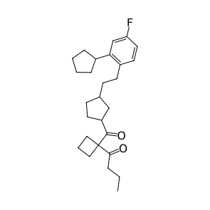 CCCC(=O)C1(C(=O)C2CCC(CCc3ccc(F)cc3C3CCCC3)C2)CCC1